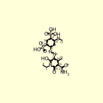 CCn1c(O)c(N=Nc2cc(NC)c(S(=O)(=O)O)cc2S(=O)(=O)O)c(C)c(C(N)=O)c1=O